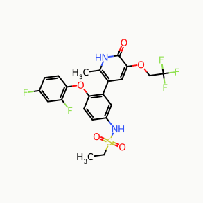 CCS(=O)(=O)Nc1ccc(Oc2ccc(F)cc2F)c(-c2cc(OCC(F)(F)F)c(=O)[nH]c2C)c1